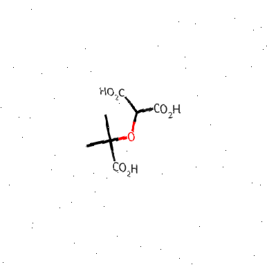 CC(C)(OC(C(=O)O)C(=O)O)C(=O)O